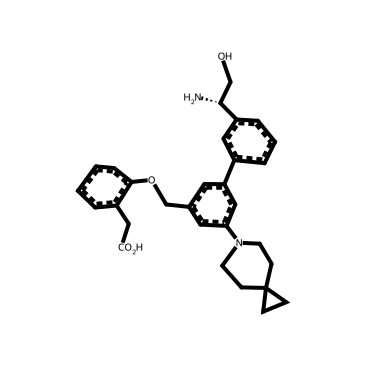 N[C@H](CO)c1cccc(-c2cc(COc3ccccc3CC(=O)O)cc(N3CCC4(CC3)CC4)c2)c1